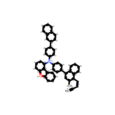 C#C/C=C\c1c(C)cc(-c2ccc(N(c3ccc(-c4ccc5ccccc5c4)cc3)c3cccc4oc5ccccc5c34)cc2)c2ccccc12